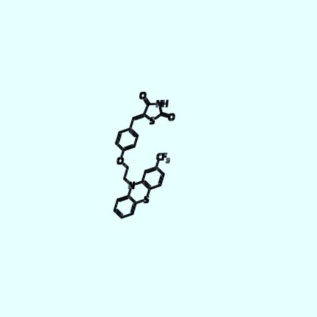 O=C1NC(=O)C(=Cc2ccc(OCCN3c4ccccc4Sc4ccc(C(F)(F)F)cc43)cc2)S1